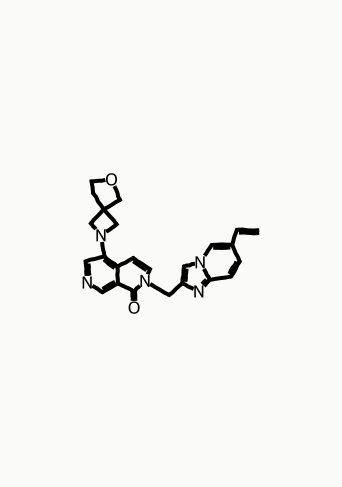 C=Cc1ccc2nc(Cn3ccc4c(N5CC6(CCOC6)C5)cncc4c3=O)cn2c1